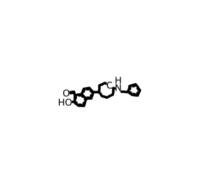 O=Cc1c(O)ccc2cc(C3CCCC(NCc4ccccc4)CCC3)ccc12